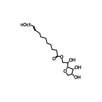 CCCCCCCC/C=C/CCCCCCCC(=O)OC[C@@H](O)C1OC[C@H](O)[C@H]1O